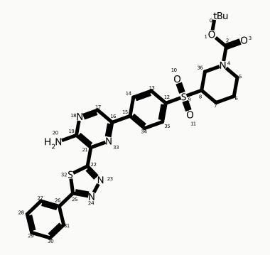 CC(C)(C)OC(=O)N1CCCC(S(=O)(=O)c2ccc(-c3cnc(N)c(-c4nnc(-c5ccccc5)s4)n3)cc2)C1